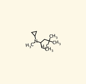 CCC(CC(C)(C)C)N(C)C1CC1